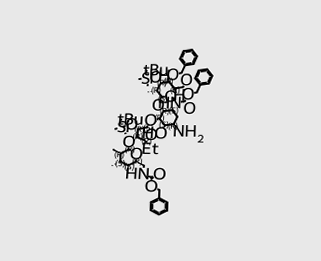 CC[C@H]1O[C@@H](O[C@@H]2[C@@H](O)[C@H](N)C[C@H](NC(=O)OCc3ccccc3)[C@H]2O[C@H]2O[C@@H]3COC(c4ccccc4)O[C@H]3[C@H](O[Si](C)(C)C(C)(C)C)[C@H]2C)[C@H](O[Si](C)(C)C(C)(C)C)[C@@H]1O[C@H]1O[C@@H](CNC(=O)OCc2ccccc2)[C@@H](C)[C@H](C)[C@H]1C